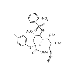 COC(=O)[C@@]1(Sc2ccc(C)cc2)C[C@H](OC(C)=O)[C@@H](NS(=O)(=O)c2ccccc2[N+](=O)[O-])[C@H]([C@H](OC(C)=O)[C@@H](CN=[N+]=[N-])OC(C)=O)O1